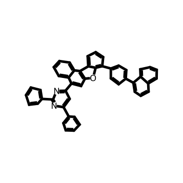 c1ccc(-c2cc(-c3cc4oc5c(-c6ccc(-c7cccc8ccccc78)cc6)cccc5c4c4ccccc34)nc(-c3ccccc3)n2)cc1